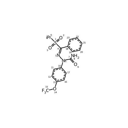 CC(C)S(=O)(=O)/C(=N/N(C(N)=O)c1ccc(OC(F)(F)F)cc1)c1ccccc1